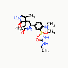 CCNC(=O)NS(=O)(=O)c1cc(C(CC2(CC)C(=O)NC=C2C)NC=O)ccc1N(C)C